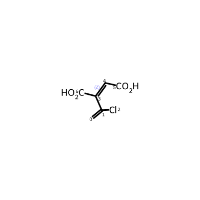 C=C(Cl)/C(=C\C(=O)O)C(=O)O